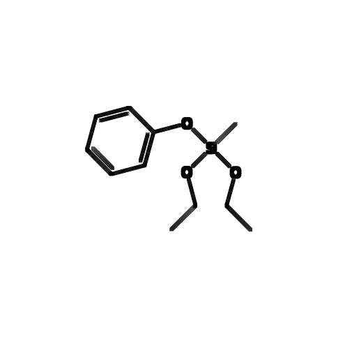 CCO[Si](C)(OCC)Oc1ccccc1